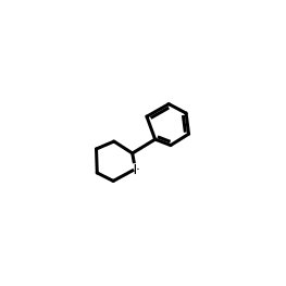 c1ccc(C2CCCC[I]2)cc1